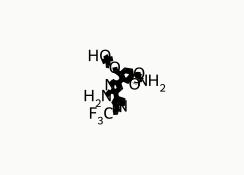 CC(C)(O)COCc1ccc(S(N)(=O)=O)cc1-c1cnc(N)c(-c2cnn(CC(F)(F)F)c2)c1